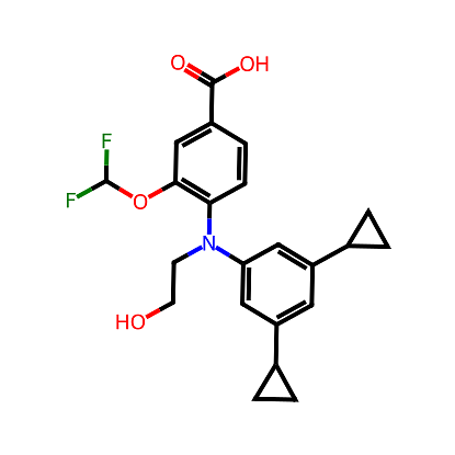 O=C(O)c1ccc(N(CCO)c2cc(C3CC3)cc(C3CC3)c2)c(OC(F)F)c1